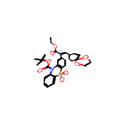 CCOC(=O)/C(=C/C1CCC2(CC1)OCCO2)c1ccc2c(c1)N(C(=O)OC(C)(C)C)c1ccccc1S2(=O)=O